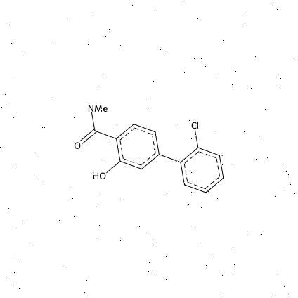 CNC(=O)c1ccc(-c2ccc[c]c2Cl)cc1O